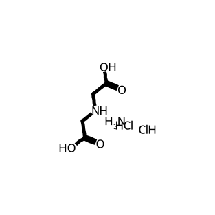 Cl.Cl.N.O=C(O)CNCC(=O)O